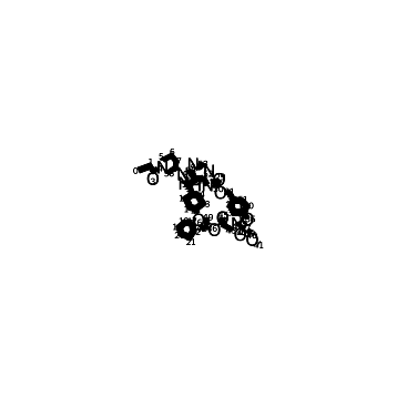 C=CC(=O)N1CCCC(n2nc(-c3ccc(Oc4ccccc4)cc3)c3c(NC(=O)OCc4ccc(OP(=O)(COC)NCC(=O)OC(C)C)cc4)ncnc32)C1